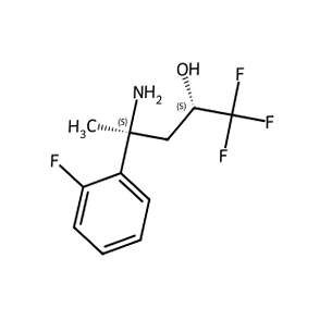 C[C@](N)(C[C@H](O)C(F)(F)F)c1ccccc1F